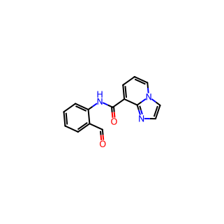 O=Cc1ccccc1NC(=O)c1cccn2ccnc12